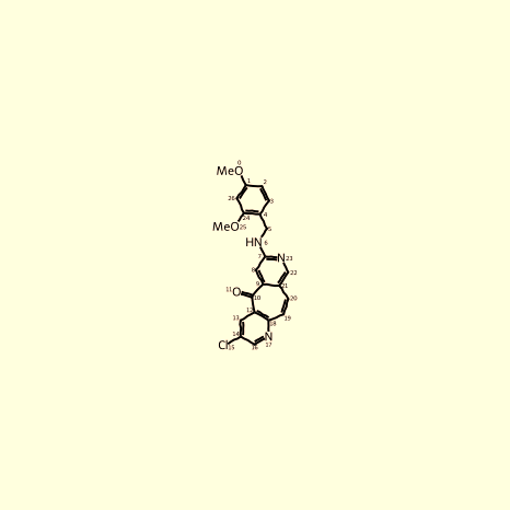 COc1ccc(CNc2cc3c(=O)c4cc(Cl)cnc4ccc3cn2)c(OC)c1